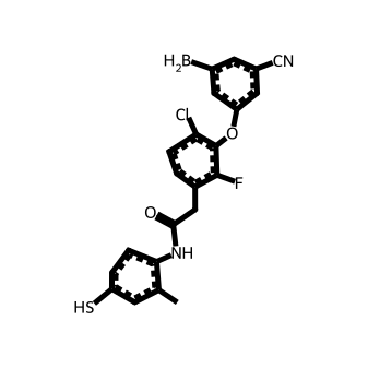 Bc1cc(C#N)cc(Oc2c(Cl)ccc(CC(=O)Nc3ccc(S)cc3C)c2F)c1